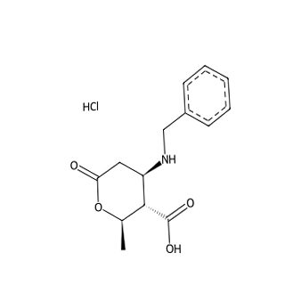 C[C@H]1OC(=O)C[C@@H](NCc2ccccc2)[C@@H]1C(=O)O.Cl